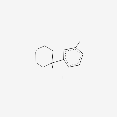 Cl.Oc1cccc(C2(F)CCNCC2)c1